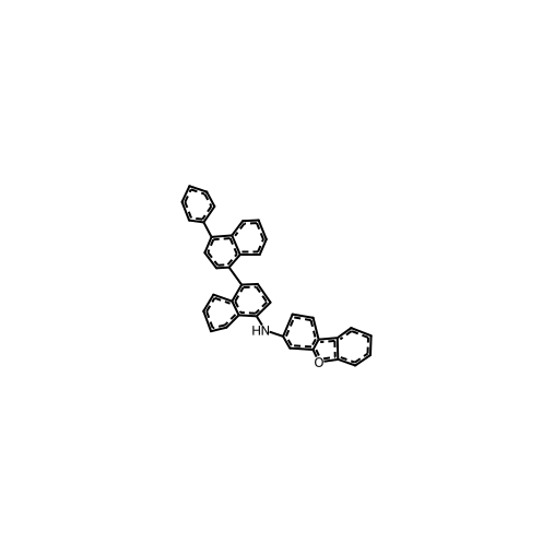 c1ccc(-c2ccc(-c3ccc(Nc4ccc5c(c4)oc4ccccc45)c4ccccc34)c3ccccc23)cc1